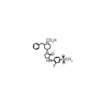 CS(=O)(=O)c1ccc(NC2CCN(C3CCN(C(=O)O)C(Cc4ccccc4)C3)C2=O)c(F)c1